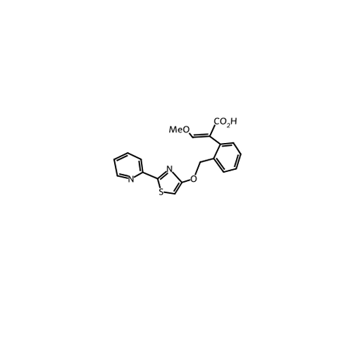 COC=C(C(=O)O)c1ccccc1COc1csc(-c2ccccn2)n1